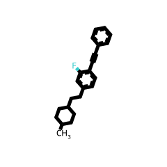 CC1CCC(CCc2ccc(C#Cc3ccccc3)c(F)c2)CC1